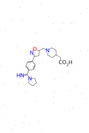 N=C(c1ccc(C2=NOC(CN3CCC(CC(=O)O)CC3)C2)cc1)N1CCCC1